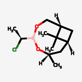 C[C@@H]1C[C@@H]2C[C@H](COB([C@@H](C)Cl)O1)C2(C)C